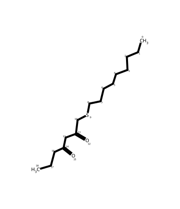 CCCCCCCCCSCC(=O)CC(=O)CCC